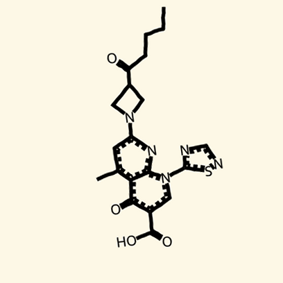 CCCCC(=O)C1CN(c2cc(C)c3c(=O)c(C(=O)O)cn(-c4ncns4)c3n2)C1